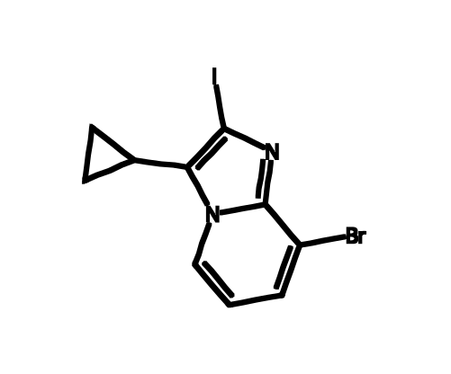 Brc1cccn2c(C3CC3)c(I)nc12